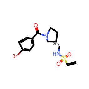 C=CS(=O)(=O)NC[C@H]1CCN(C(=O)c2ccc(Br)cc2)C1